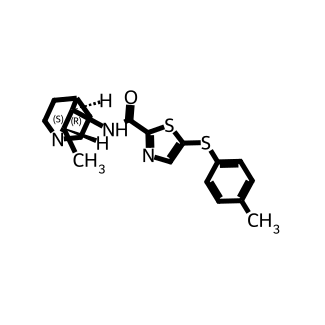 Cc1ccc(Sc2cnc(C(=O)N[C@@H]3C4CCN(CC4)[C@H]3C)s2)cc1